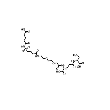 CC[C@H](NC(=O)CC[C@H](NC(=O)COCCOCCNC(=O)CCCS(=O)(=O)NC(=O)CCCC(=O)O)C(=O)O)C(=O)O